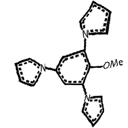 COc1c(-n2cccc2)cc(-n2cccc2)cc1-n1cccc1